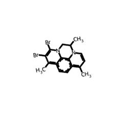 CC1=c2ccc3c4c2N(CC(C)N4C=CC=3C)C(Br)=C1Br